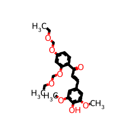 CCOCOc1ccc(C(=O)/C=C/c2cc(OC)c(O)c(OC)c2)c(OCOCC)c1